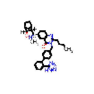 CCCCc1nc2ccc([C@@H]3[C@H]4C5CCC(C5)[C@H]4ON3C)cc2c(=O)n1Cc1ccc(-c2ccccc2-c2nnn[nH]2)cc1